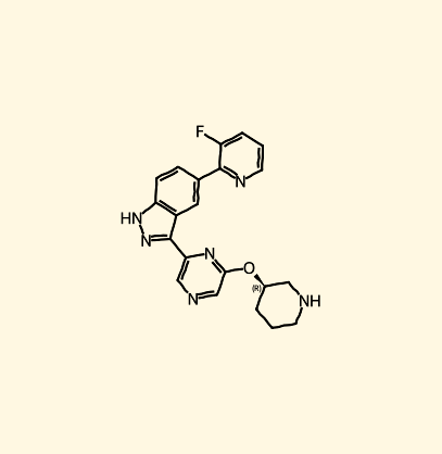 Fc1cccnc1-c1ccc2[nH]nc(-c3cncc(O[C@@H]4CCCNC4)n3)c2c1